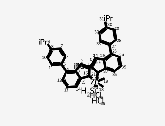 CCC1=Cc2c(-c3ccc(C(C)C)cc3)cccc2[CH]1[Zr]([CH3])([CH3])(=[SiH2])[CH]1C(C(C)CC)=Cc2c(-c3ccc(C(C)C)cc3)cccc21.Cl.Cl